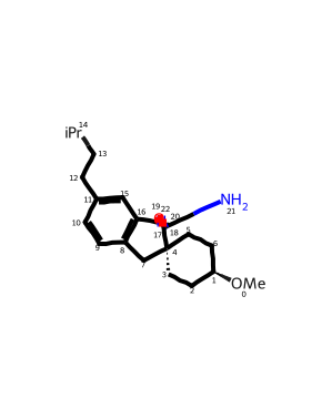 CO[C@H]1CC[C@]2(CC1)Cc1ccc(CCC(C)C)cc1C21COC(N)=N1